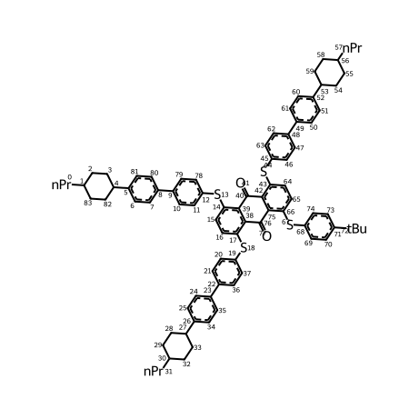 CCCC1CCC(c2ccc(-c3ccc(Sc4ccc(Sc5ccc(-c6ccc(C7CCC(CCC)CC7)cc6)cc5)c5c4C(=O)c4c(Sc6ccc(-c7ccc(C8CCC(CCC)CC8)cc7)cc6)ccc(Sc6ccc(C(C)(C)C)cc6)c4C5=O)cc3)cc2)CC1